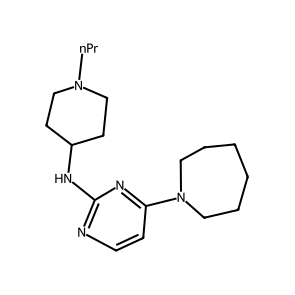 CCCN1CCC(Nc2nccc(N3CCCCCC3)n2)CC1